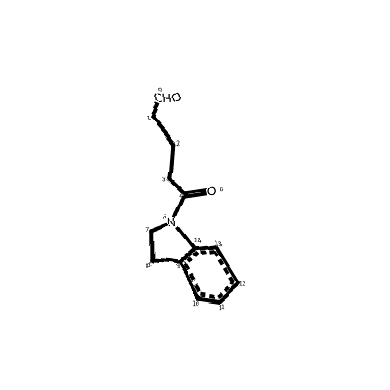 O=CCCCC(=O)N1CCc2ccccc21